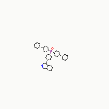 O=P(c1ccc(-c2ccccc2)cc1)(c1ccc(-c2ccccc2)cc1)c1ccc(-c2cncc3ccccc23)cc1